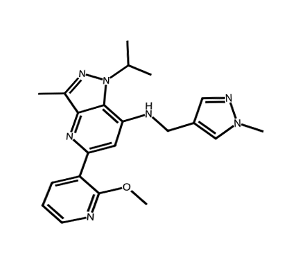 COc1ncccc1-c1cc(NCc2cnn(C)c2)c2c(n1)c(C)nn2C(C)C